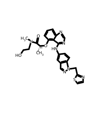 C[C@@H](Oc1cccc2ncnc(Nc3ccc4c(cnn4Cc4nccs4)c3)c12)C(=O)N(C)CCO